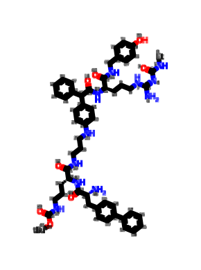 CCNC(=O)/N=C(/N)NCCC[C@@H](NC(=O)C(c1ccccc1)c1ccc(NCCCNC(=O)[C@@H](CCCNC(=O)OC(C)(C)C)NC(=O)[C@H](N)Cc2ccc(-c3ccccc3)cc2)cc1)C(=O)NCc1ccc(O)cc1